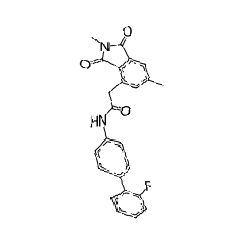 Cc1cc(CC(=O)Nc2ccc(-c3ccccc3F)cc2)c2c(c1)C(=O)N(C)C2=O